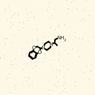 CC(CN)N1CCN(C2COc3ccccc3O2)CC1